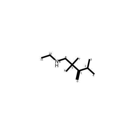 C=C(C(C)C)C(C)(C)CNCC